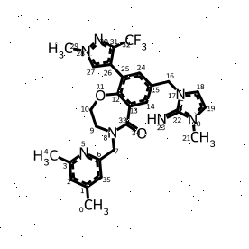 Cc1cc(C)nc(CN2CCOc3c(cc(Cn4ccn(C)c4=N)cc3-c3cn(C)nc3C(F)(F)F)C2=O)c1